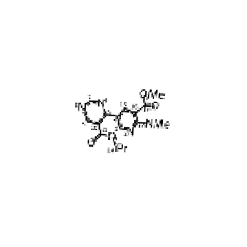 CNc1ncc(-c2ncncc2C(=O)OC(C)C)cc1C(=O)OC